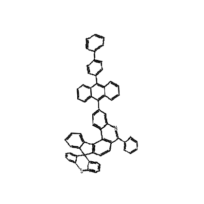 c1ccc(-c2ccc(-c3c4ccccc4c(-c4ccc5c(c4)nc(-c4ccccc4)c4ccc6c(c45)-c4ccccc4C64c5ccccc5Sc5ccccc54)c4ccccc34)cc2)cc1